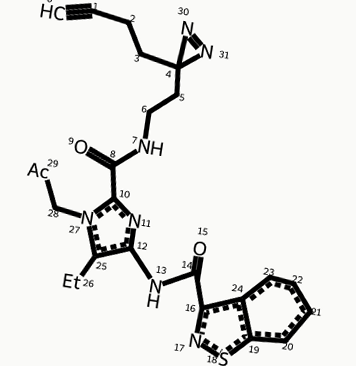 C#CCCC1(CCNC(=O)c2nc(NC(=O)c3nsc4ccccc34)c(CC)n2CC(C)=O)N=N1